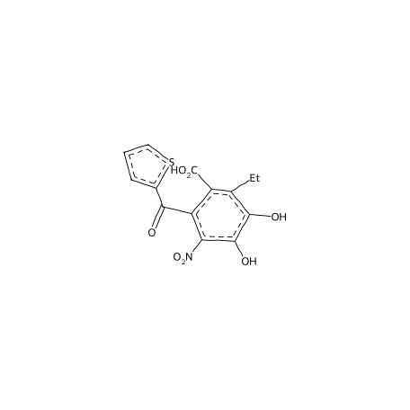 CCc1c(O)c(O)c([N+](=O)[O-])c(C(=O)c2cccs2)c1C(=O)O